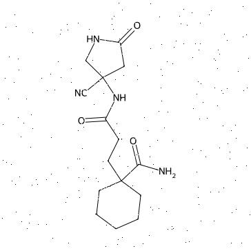 N#CC1(NC(=O)[CH]CC2(C(N)=O)CCCCC2)CNC(=O)C1